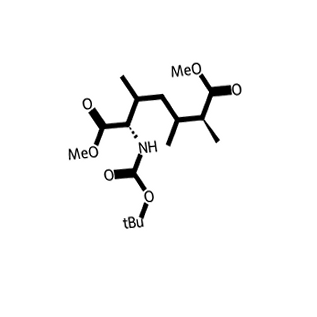 COC(=O)[C@@H](C)C(C)CC(C)[C@H](NC(=O)OC(C)(C)C)C(=O)OC